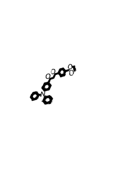 O=C(CC(=O)c1ccc(N(c2ccccc2)c2ccccc2)cc1)c1ccc(C2OCCO2)cc1